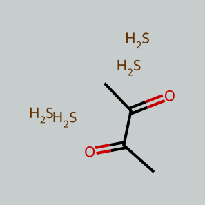 CC(=O)C(C)=O.S.S.S.S